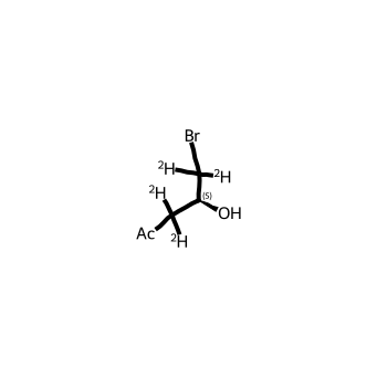 [2H]C([2H])(Br)[C@@H](O)C([2H])([2H])C(C)=O